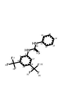 FC(F)(F)c1cc(NC(=S)Nc2ccccc2)cc(C(F)(F)F)c1